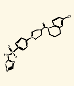 O=C(C1CCN(c2ccc(S(=O)(=O)Nc3ncns3)cc2)CC1)N1CCCc2cc(Cl)ccc21